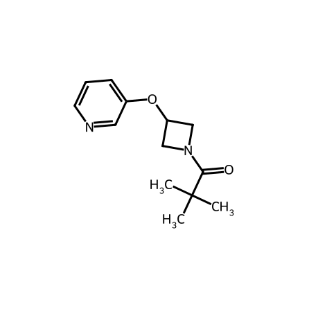 CC(C)(C)C(=O)N1CC(Oc2cccnc2)C1